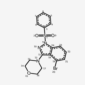 O=S(=O)(c1ccccc1)n1nc(N2CCOCC2)c2c(Br)cccc21